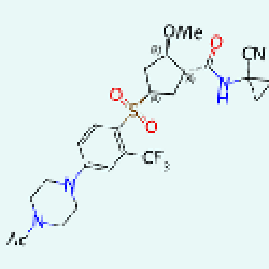 CO[C@@H]1C[C@H](S(=O)(=O)c2ccc(N3CCN(C(C)=O)CC3)cc2C(F)(F)F)C[C@H]1C(=O)NC1(C#N)CC1